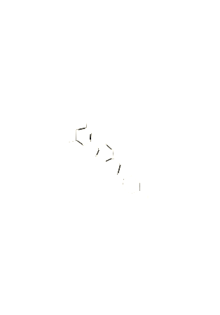 CCCC1CCC(C=Cc2ccc(-c3cc(F)cc(F)c3)cc2)CC1